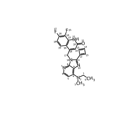 CCN(C)c1ccnc2c1nc(C1=CC=C1)n2Cc1cc(=O)[nH]c2c(F)c(F)ccc12